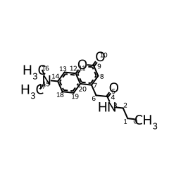 CCCNC(=O)Cc1cc(=O)oc2cc(N(C)C)ccc12